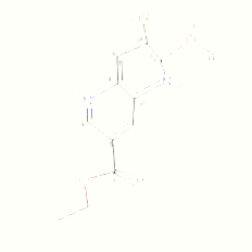 CCOC(=O)c1cnc2cc(Br)c(OC)nc2c1